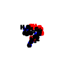 CC(CO)(CO)NCc1cc2c3ccccc3ccc2c2ccccc12.CCc1c2c(nc3ccc(OC(=O)N4CCC(N5CCCCC5)CC4)cc13)-c1cc3c(c(=O)n1C2)COC(=O)[C@]3(O)CC